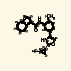 Cc1ccc(C2=NOC([C@@H]3C[C@H]3F)N2)cc1NC(=O)c1cnc2ccccn12